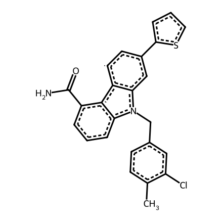 Cc1ccc(Cn2c3cc(-c4cccs4)c[c]c3c3c(C(N)=O)cccc32)cc1Cl